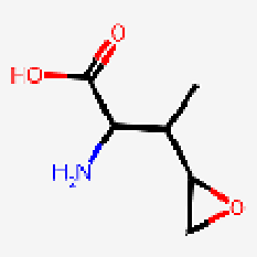 CC(C1CO1)C(N)C(=O)O